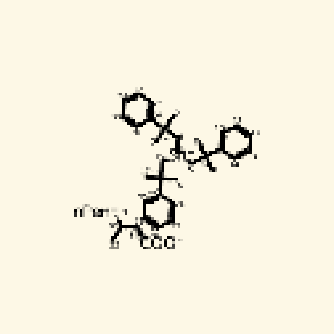 CC(C)([CH2][Sn+]([CH2]C(C)(C)c1ccccc1)[CH2]C(C)(C)c1ccccc1)c1ccccc1.CCCCCC(C)CC(=O)[O-]